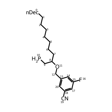 CCCCCCCCCCCCCCCCCC(CP)OCc1cc(F)cc(C#N)c1